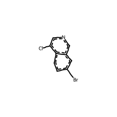 Clc1cncc2cc(Br)ccc12